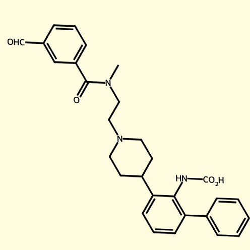 CN(CCN1CCC(c2cccc(-c3ccccc3)c2NC(=O)O)CC1)C(=O)c1cccc(C=O)c1